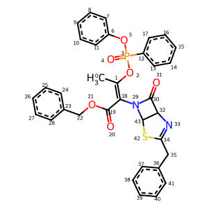 CC(OP(=O)(Oc1ccccc1)c1ccccc1)=C(C(=O)OCc1ccccc1)N1C(=O)C2N=C(Cc3ccccc3)SC21